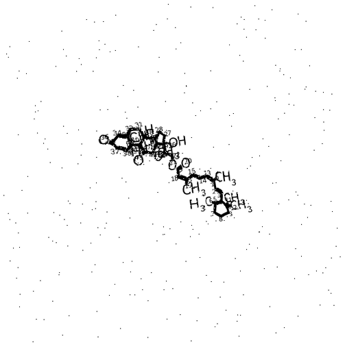 CC(C=CC1=C(C)CCCC1(C)C)=CC=CC(C)=CC(=O)OCC(=O)[C@@]1(O)CC[C@H]2[C@@H]3CCC4=CC(=O)C=C[C@]4(C)[C@H]3C(=O)C[C@@]21C